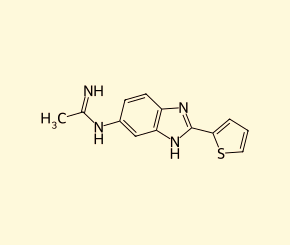 CC(=N)Nc1ccc2nc(-c3cccs3)[nH]c2c1